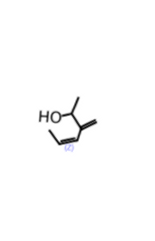 C=C(/C=C\C)C(C)O